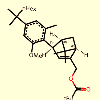 CCCCCCC(C)(C)c1cc(C)c([C@@H]2C=C(COC(=O)C(C)(C)C)[C@@H]3C[C@H]2C3(C)C)c(OC)c1